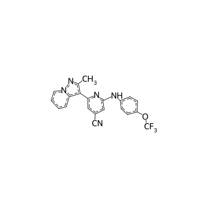 Cc1nn2ccccc2c1-c1cc(C#N)cc(Nc2ccc(OC(F)(F)F)cc2)n1